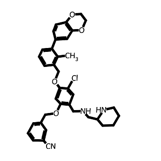 Cc1c(COc2cc(OCc3cccc(C#N)c3)c(CNCC3CCCCN3)cc2Cl)cccc1-c1ccc2c(c1)OCCO2